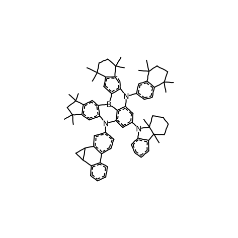 CC1(C)CCC(C)(C)c2cc(N3c4cc5c(cc4B4c6cc7c(cc6N(c6ccc8c(c6)C6CC6c6ccccc6-8)c6cc(N8c9ccccc9C9(C)CCCCC89C)cc3c64)C(C)(C)CC7(C)C)C(C)(C)CCC5(C)C)ccc21